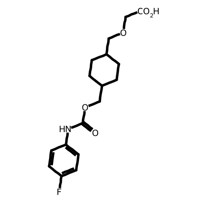 O=C(O)COCC1CCC(COC(=O)Nc2ccc(F)cc2)CC1